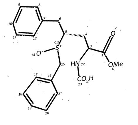 COC(=O)C(C[C@@H](Cc1ccccc1)[S+]([O-])Cc1ccccc1)NC(=O)O